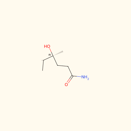 C[CH][C@@](C)(O)CCC(N)=O